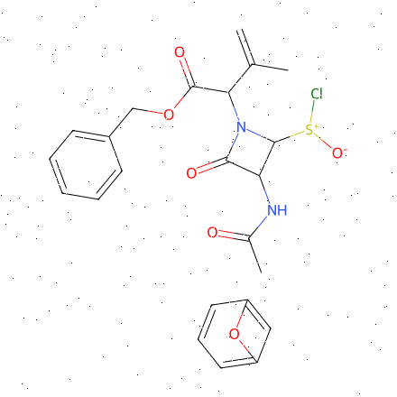 C=C(C)C(C(=O)OCc1ccccc1)N1C(=O)C(NC(C)=O)C1[S+]([O-])Cl.c1cc2cc(c1)O2